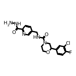 NNC(=O)c1ccc(CNC(=O)N2CCOC(c3ccc(F)c(Cl)c3)C2)cn1